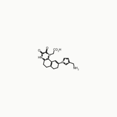 NCc1ccn(C2=CC3=C(CC2)CCc2[nH]c(=O)c(=O)n(CC(=O)O)c23)c1